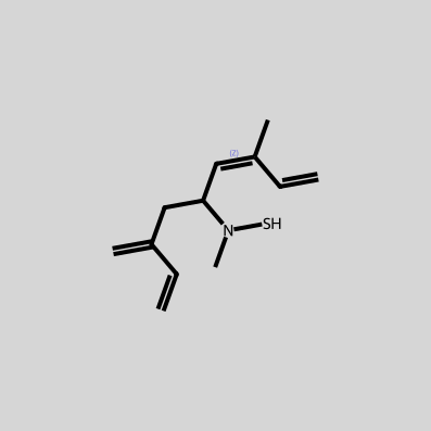 C=CC(=C)CC(/C=C(/C)C=C)N(C)S